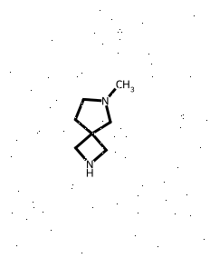 CN1CCC2(CNC2)C1